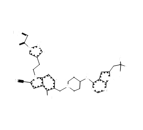 C=CC(=O)n1cc(CCn2c(C#N)cc3c(C)c(CN4CCC(Nc5ncnc6sc(CC(F)(F)F)cc56)CC4)ccc32)cn1